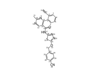 C#Cc1ccccc1-c1nc(C)ncc1C(=O)Nc1nnc(OCc2ccc(C#N)cc2)s1